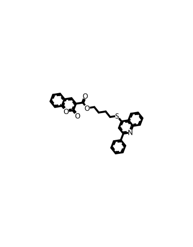 O=C(OCCCCSc1cc(-c2ccccc2)nc2ccccc12)c1cc2ccccc2oc1=O